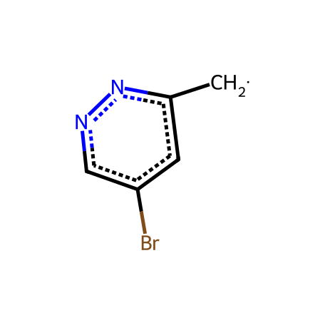 [CH2]c1cc(Br)cnn1